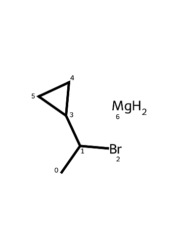 CC(Br)C1CC1.[MgH2]